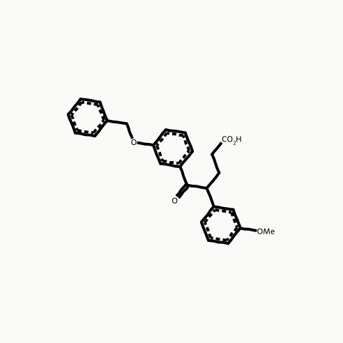 COc1cccc(C(CCC(=O)O)C(=O)c2cccc(OCc3ccccc3)c2)c1